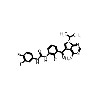 CC(C)n1cc(C(=O)c2cccc(NC(=O)Nc3ccc(F)c(F)c3)c2Cl)c2c(N)ncnc21